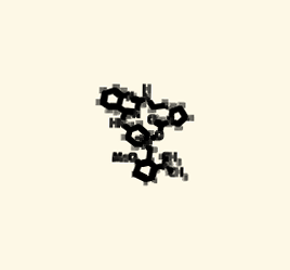 COc1cccc(N(C)C)c1CN1CCC(Nc2nc(NCC[C@@H]3CCCN3C(=O)OC(C)(C)C)nc3ccccc23)CC1